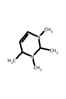 CC1C=CN(C)C(C)N1C